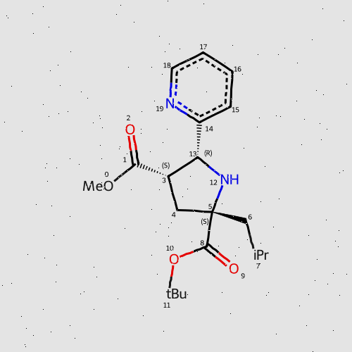 COC(=O)[C@H]1C[C@@](CC(C)C)(C(=O)OC(C)(C)C)N[C@H]1c1ccccn1